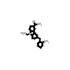 CCn1c2ccc(Cc3ccccc3C)cc2c2cc(C(C)=O)ccc21